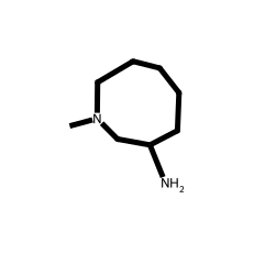 CN1CCCCCC(N)C1